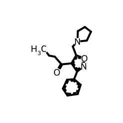 CCCC(=O)c1c(-c2ccccc2)noc1CN1CCCC1